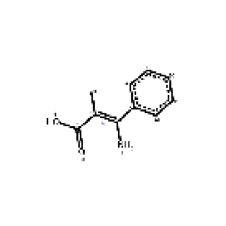 C/C(C(=O)O)=C(/N)c1ccccc1